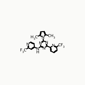 Cc1ccc(C)n1-c1nc(Nc2ccnc(C(F)(F)F)c2)nc(-c2cccc(C(F)(F)F)n2)n1